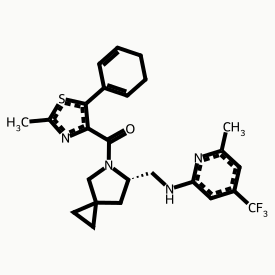 Cc1cc(C(F)(F)F)cc(NC[C@@H]2CC3(CC3)CN2C(=O)c2nc(C)sc2C2=CCCC=C2)n1